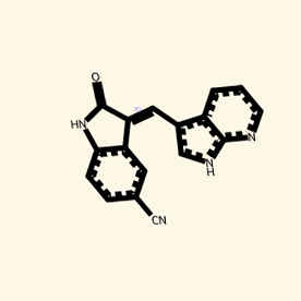 N#Cc1ccc2c(c1)/C(=C\c1c[nH]c3ncccc13)C(=O)N2